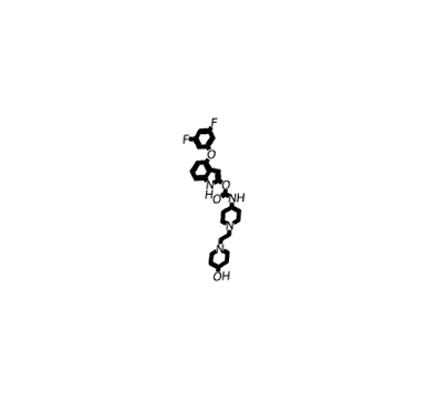 O=C(NC1CCN(CCN2CCC(O)CC2)CC1)Oc1cc2c(Oc3cc(F)cc(F)c3)cccc2[nH]1